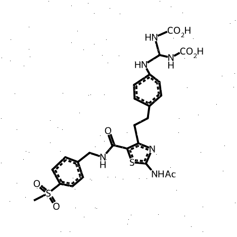 CC(=O)Nc1nc(CCc2ccc(NC(NC(=O)O)NC(=O)O)cc2)c(C(=O)NCc2ccc(S(C)(=O)=O)cc2)s1